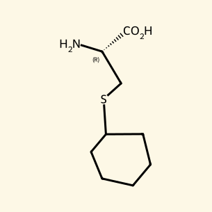 N[C@@H](CSC1CCCCC1)C(=O)O